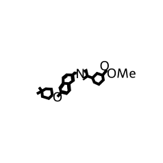 COC(=O)C1CCCC(C2CN(Cc3ccc4cc(OC5CCC(C)(C)CC5)ccc4c3)C2)C1